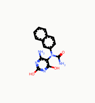 NC(=O)N(c1ccc2ccccc2c1)c1c(N)nc(O)nc1O